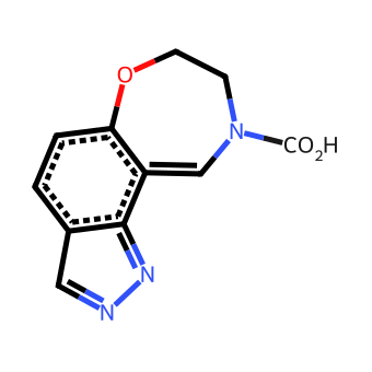 O=C(O)N1C=c2c(ccc3c2=NN=C3)OCC1